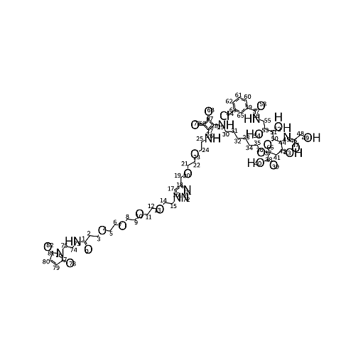 O=C(CCOCCOCCOCCOCCn1cc(COCCOCCNc2c(NCCCCCCO[C@]3(C(=O)O)C[C@H](O)[C@@H](NC(=O)CO)[C@H]([C@H](O)[C@H](O)CNC(=O)c4cccc(Cl)c4)O3)c(=O)c2=O)nn1)NCCN1C(=O)C=CC1=O